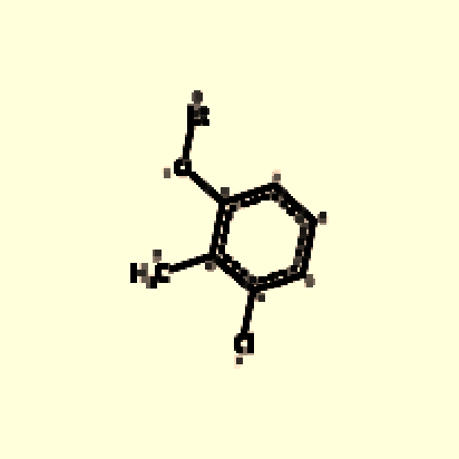 CCOc1cccc(Cl)c1C